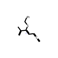 C=C=C/C=C(\SCC(C)C)C(=C)C